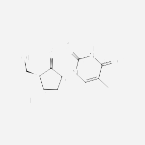 Cc1cn([C@@H]2C[C@H](O)[C@@H](CO)C2=O)c(=O)[nH]c1=O